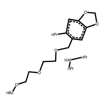 CCCCOCCOCCOCc1cc2c(cc1CCC)OCO2.CC[CH2][AlH][CH2]CC